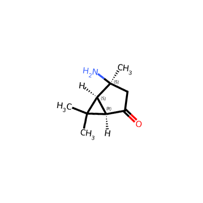 CC1(C)[C@@H]2C(=O)C[C@](C)(N)[C@@H]21